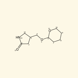 O=C1CC(COC2CCCCO2)CN1